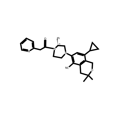 CC(C)[C@@H]1CN(c2cc(C3CC3)c3c(c2C#N)CC(C)(C)OC3)CCN1C(=O)Cc1ccccn1